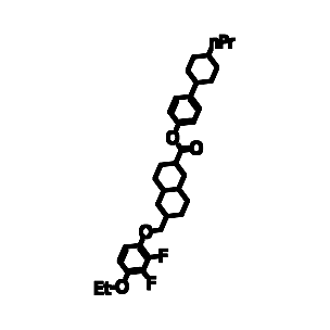 CCCC1CCC(c2ccc(OC(=O)C3CCC4CC(COc5ccc(OCC)c(F)c5F)CCC4C3)cc2)CC1